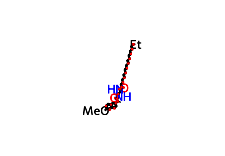 CCC=CCC=CCC=CCC=CCC=CCCCC(=O)NCCNC(=O)[C@@H](C)c1ccc2cc(OC)ccc2c1